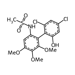 COc1cc(NS(C)(=O)=O)c(-c2c(O)cc(Cl)cc2Cl)c(OC)c1OC